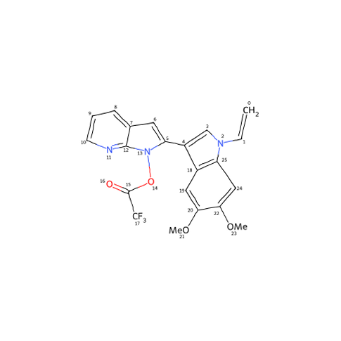 C=Cn1cc(-c2cc3cccnc3n2OC(=O)C(F)(F)F)c2cc(OC)c(OC)cc21